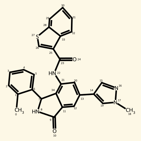 Cc1ccccc1C1NC(=O)c2cc(-c3cnn(C)c3)cc(NC(=O)c3csc4ccccc34)c21